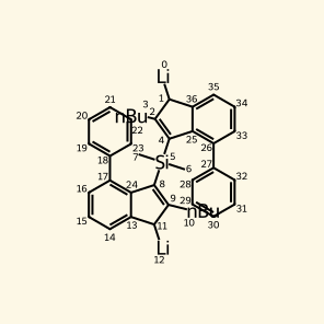 [Li][CH]1C(CCCC)=C([Si](C)(C)C2=C(CCCC)[CH]([Li])c3cccc(-c4ccccc4)c32)c2c(-c3ccccc3)cccc21